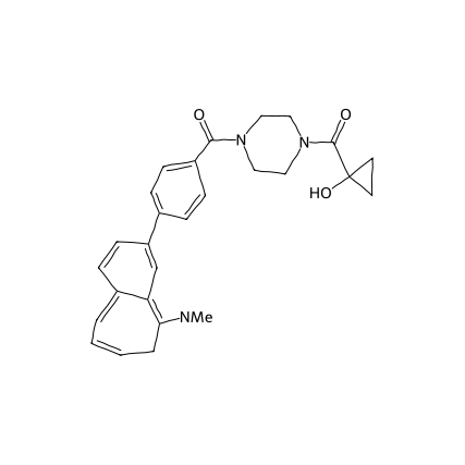 CNC1=c2cc(-c3ccc(C(=O)N4CCN(C(=O)C5(O)CC5)CC4)cc3)ccc2=CC=CC1